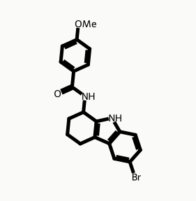 COc1ccc(C(=O)NC2CCCc3c2[nH]c2ccc(Br)cc32)cc1